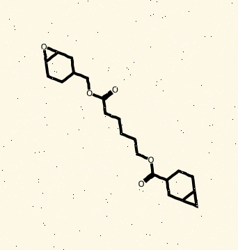 O=C(CCCCCOC(=O)C1CCC2CC2C1)OCC1CCC2OC2C1